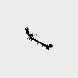 Cc1ncsc1-c1ccc([C@H](C)NC(=O)[C@@H]2C[C@@H](O)CN2C(=O)[C@@H](NC(=O)CCCCCCCCCNCCCCONC(=O)c2ccc(F)c(F)c2Nc2ccc(I)cc2F)C(C)(C)C)cc1